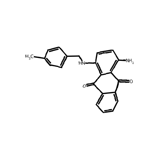 Cc1ccc(CNc2ccc(N)c3c2C(=O)c2ccccc2C3=O)cc1